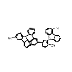 N#Cc1ccc2c(c1)c1ccccc1n2-c1ccccc1-c1cccc(-c2ccc(C#N)c(-n3c4ccccc4c4c(C#N)cccc43)c2)c1